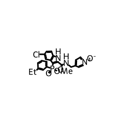 CCc1cccc(P(=O)(OC)c2c(C(=O)NCc3cc[n+]([O-])cc3)[nH]c3ccc(Cl)cc23)c1